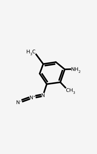 Cc1cc(N)c(C)c(N=[N+]=[N-])c1